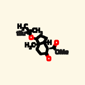 COC(=O)[C@@H]1C(=O)CC[C@]2(C)C(O[Si](C)(C)C(C)(C)C)CC[C@@H]12